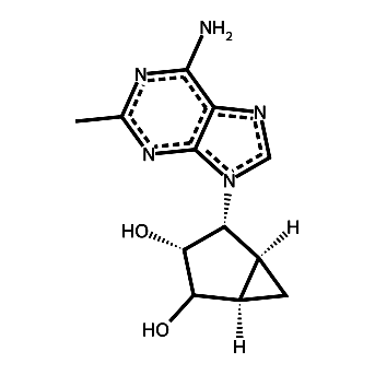 Cc1nc(N)c2ncn([C@@H]3[C@H]4C[C@H]4C(O)[C@@H]3O)c2n1